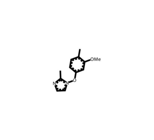 COc1cc(On2ccnc2C)ccc1C